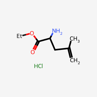 C=C(C)CC(N)C(=O)OCC.Cl